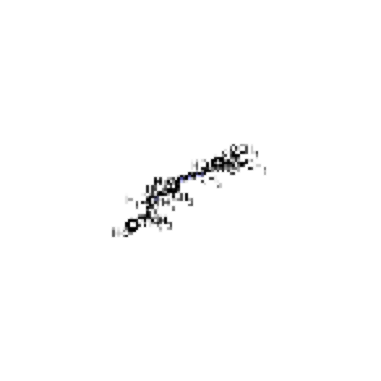 CCCN(C(=O)C[C@]1(O)O[C@H](C[C@H](O)/C(C)=C/C=C/C=C/[C@@H](C)C[C@@H](C)C(=O)C[C@H](O)/C(C)=C/[C@@H](C)C(=O)C[C@H](OC)[C@H](C)C[C@@H]2CC[C@@H](O)[C@H](I)C2)CC[C@H]1C)[C@H](C=O)CC